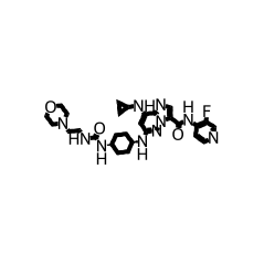 O=C(NCCN1CCOCC1)N[C@H]1CC[C@H](Nc2cc(NC3CC3)c3ncc(C(=O)Nc4ccncc4F)n3n2)CC1